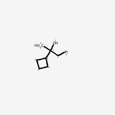 CC(C)CC(O)(C(=O)O)C1CCC1